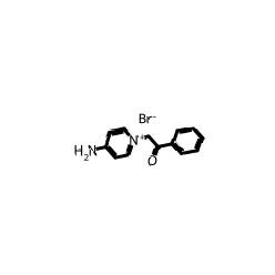 Nc1cc[n+](CC(=O)c2ccccc2)cc1.[Br-]